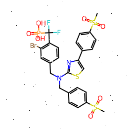 CS(=O)(=O)c1ccc(CN(Cc2ccc(C(F)(F)P(=O)(O)O)c(Br)c2)c2nc(-c3ccc(S(C)(=O)=O)cc3)cs2)cc1